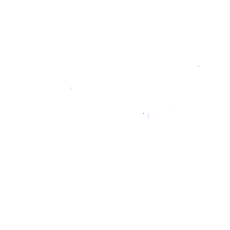 CC(C)(C)OC(=O)N[C@H](CO)COc1cccc2c1B(O)OC2